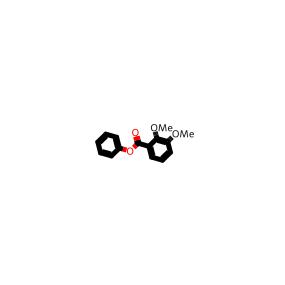 COc1cccc(C(=O)Oc2ccccc2)c1OC